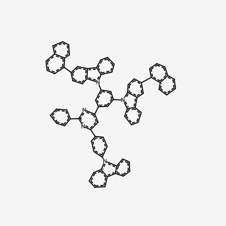 c1ccc(-c2nc(-c3ccc(-n4c5ccccc5c5ccccc54)cc3)cc(-c3cc(-n4c5ccccc5c5cc(-c6cccc7ccccc67)ccc54)cc(-n4c5ccccc5c5cc(-c6cccc7ccccc67)ccc54)c3)n2)cc1